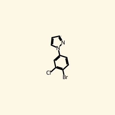 Clc1cc(-n2cc[c]n2)ccc1Br